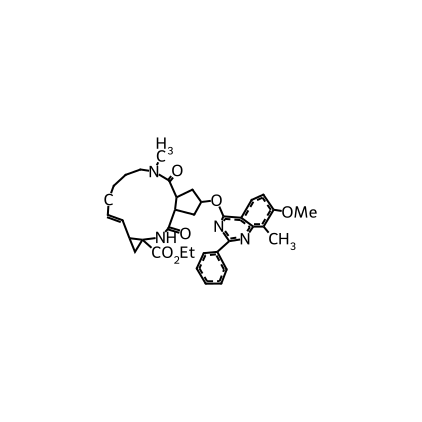 CCOC(=O)C12CC1/C=C/CCCCN(C)C(=O)C1CC(Oc3nc(-c4ccccc4)nc4c(C)c(OC)ccc34)CC1C(=O)N2